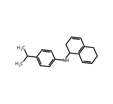 CC(C)c1ccc(NC2CC=CC3=C2C=CCC3)cc1